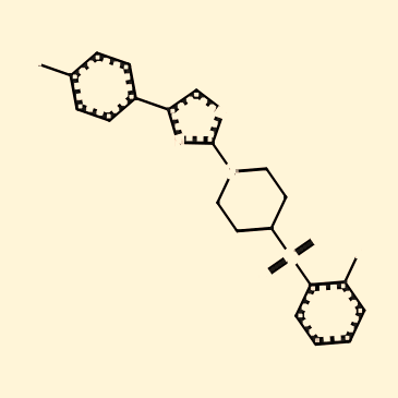 O=S(=O)(c1ccccc1Br)C1CCN(c2nc(-c3ccc(Cl)cc3)cs2)CC1